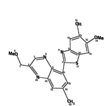 COCc1cnc2c(-c3nc4cc(O)c(OC)cc4s3)cc(C)cc2n1